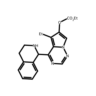 CCOC(=O)Oc1cn2ncnc(C3NCCc4ccccc43)c2c1CC